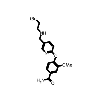 COc1cc(C(N)=O)ccc1Oc1ccc(CNCCC(C)(C)C)cn1